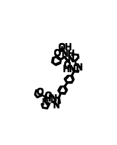 O=C(O)N[C@@H](C(=O)N1CCC[C@H]1c1ncc(-c2ccc(-c3ccc(-c4cnc([C@@H]5CCCN5C(=O)[C@H]5CCCO5)[nH]4)cc3)cc2)[nH]1)c1ccccc1